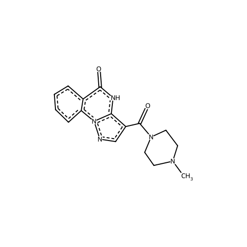 CN1CCN(C(=O)c2cnn3c2[nH]c(=O)c2ccccc23)CC1